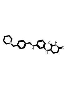 O=C1CCC(Nc2cccc(NCc3ccc(CN4CCCCC4)cc3)c2)C(=O)N1